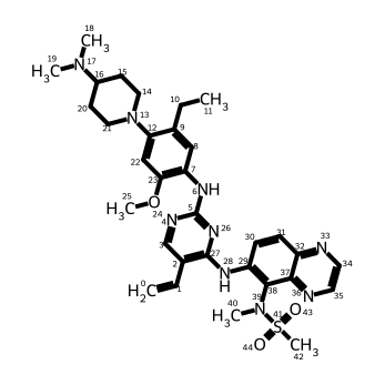 C=Cc1cnc(Nc2cc(CC)c(N3CCC(N(C)C)CC3)cc2OC)nc1Nc1ccc2nccnc2c1N(C)S(C)(=O)=O